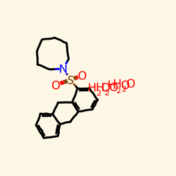 O.O.O.O.O=S(=O)(c1cccc2c1Cc1ccccc1C2)N1CCCCCCC1